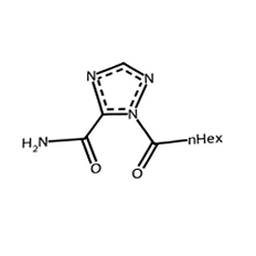 CCCCCCC(=O)n1ncnc1C(N)=O